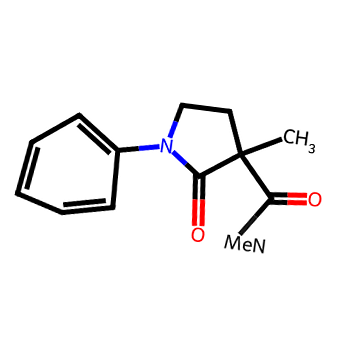 CNC(=O)C1(C)CCN(c2ccccc2)C1=O